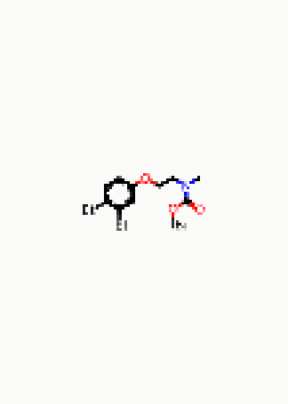 CCc1ccc(OCCN(C)C(=O)OC(C)(C)C)cc1CC